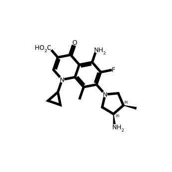 Cc1c(N2C[C@@H](C)[C@@H](N)C2)c(F)c(N)c2c(=O)c(C(=O)O)cn(C3CC3)c12